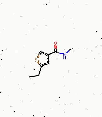 CCc1cc(C(=O)NC)cs1